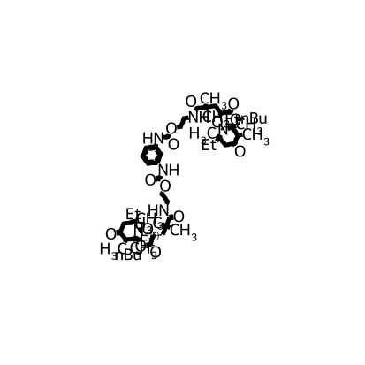 CCCCOC(=O)C(CC(C)(C)C(=O)NCCOC(=O)Nc1cccc(NC(=O)OCCNC(=O)C(C)(C)C[C@@H](ON2C(C)(CC)CC(=O)C(C)C2(C)CC)C(=O)OCCCC)c1)ON1C(C)(CC)CC(=O)C(C)C1(C)CC